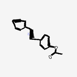 CC(=O)Oc1ccc(/C=C/c2c[c]c[c]c2)cc1